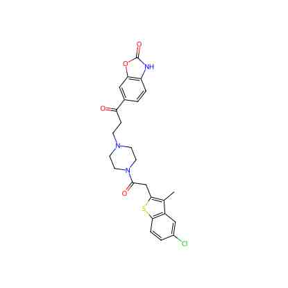 Cc1c(CC(=O)N2CCN(CCC(=O)c3ccc4[nH]c(=O)oc4c3)CC2)sc2ccc(Cl)cc12